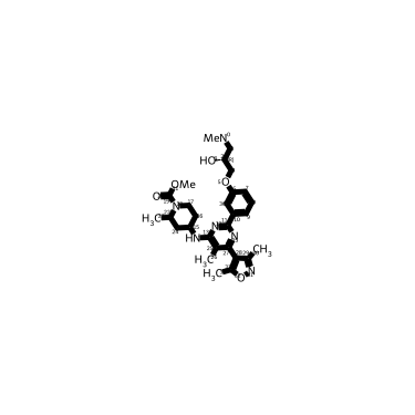 CNC[C@@H](O)COc1cccc(-c2nc(NC3CCN(C(=O)OC)C(C)C3)c(C)c(-c3c(C)noc3C)n2)c1